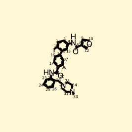 Cc1ccc(NC(=O)c2ccoc2)cc1-c1ccc(C(=O)Nc2ccccc2CN2CCN(C)CC2)cc1